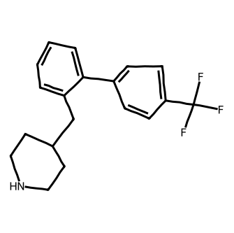 FC(F)(F)c1ccc(-c2ccccc2CC2CCNCC2)cc1